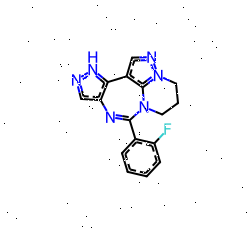 Fc1ccccc1C1=Nc2cn[nH]c2-c2cnn3c2N1CCC3